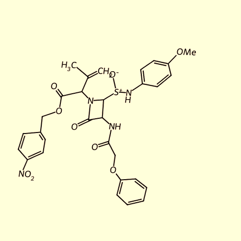 C=C(C)C(C(=O)OCc1ccc([N+](=O)[O-])cc1)N1C(=O)C(NC(=O)COc2ccccc2)C1[S+]([O-])Nc1ccc(OC)cc1